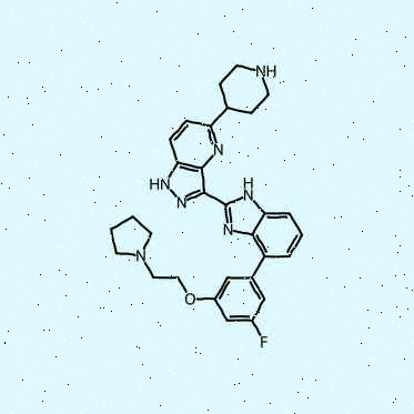 Fc1cc(OCCN2CCCC2)cc(-c2cccc3[nH]c(-c4n[nH]c5ccc(C6CCNCC6)nc45)nc23)c1